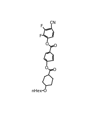 CCCCCCOC1CCC(C(=O)Oc2ccc(C(=O)Oc3ccc(C#N)c(F)c3F)cc2)CC1